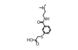 CN(C)CCNC(=O)c1cccc(SCC(=O)O)c1